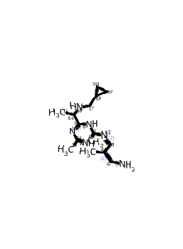 C=C(/N=C\C(C)=C/N)N/C(=N\C(C)=N)C(C)NCC1CC1